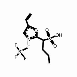 C=Cc1c[nH]c(C(CCC)S(=O)(=O)O)n1.F[B-](F)(F)F